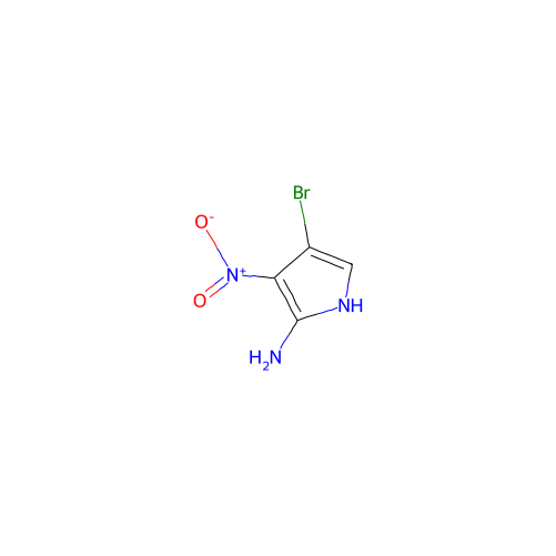 Nc1[nH]cc(Br)c1[N+](=O)[O-]